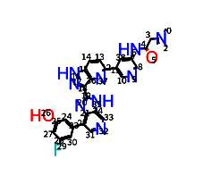 CN(C)CC(=O)Nc1cncc(-c2ccc3[nH]nc(-c4nc5c(-c6cc(O)cc(F)c6)cncc5[nH]4)c3n2)c1